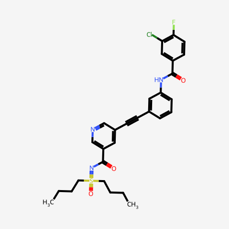 CCCCS(=O)(CCCC)=NC(=O)c1cncc(C#Cc2cccc(NC(=O)c3ccc(F)c(Cl)c3)c2)c1